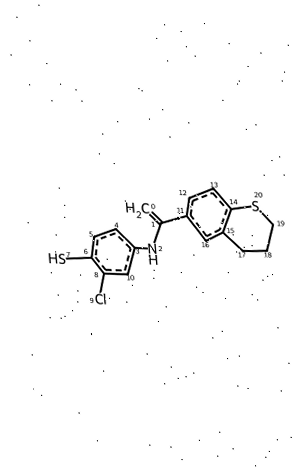 C=C(Nc1ccc(S)c(Cl)c1)c1ccc2c(c1)CCCS2